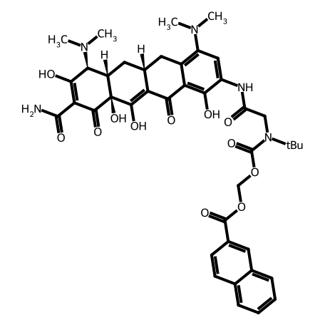 CN(C)c1cc(NC(=O)CN(C(=O)OCOC(=O)c2ccc3ccccc3c2)C(C)(C)C)c(O)c2c1C[C@H]1C[C@H]3[C@H](N(C)C)C(O)=C(C(N)=O)C(=O)[C@@]3(O)C(O)=C1C2=O